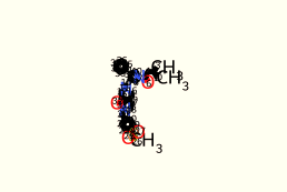 CCC(C)CC(=O)N1C[C@H](CN2CCC3(CC2)CCN(Cc2ccc(S(C)(=O)=O)cc2)C3=O)[C@@H](c2ccccc2)C1